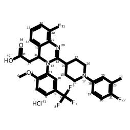 COc1ccc(C(F)(F)F)cc1N1C(C2CCN(c3ccc(F)c(C)c3)CC2)=Nc2c(F)cccc2C1CC(=O)O.Cl